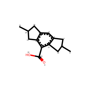 CC1Cc2cc3c(c(C(=O)O)c2C1)CC(C)C3